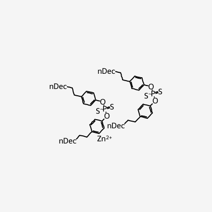 CCCCCCCCCCCCc1ccc(OP(=S)([S-])Oc2ccc(CCCCCCCCCCCC)cc2)cc1.CCCCCCCCCCCCc1ccc(OP(=S)([S-])Oc2ccc(CCCCCCCCCCCC)cc2)cc1.[Zn+2]